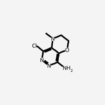 CN1CCOc2c(N)nnc(Cl)c21